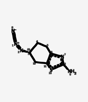 [N-]=[N+]=N[C@H]1CCc2nc(N)sc2C1